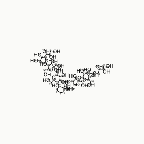 OC1(O)CCCCC1.OCC(O)C(O)C(O)C(O)CO.OCC(O)C(O)CO.OC[C@H]1OC(O)[C@H](O)[C@@H](O)[C@@H]1O.OC[C@H]1O[C@@](CO)(O[C@H]2O[C@H](CO)[C@@H](O)[C@H](O)[C@H]2O)[C@@H](O)[C@@H]1O.OC[C@H]1O[C@](O)(CO)[C@@H](O)[C@@H]1O